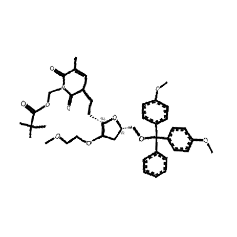 COCCOC1C[C@@H](COC(c2ccccc2)(c2ccc(OC)cc2)c2ccc(OC)cc2)O[C@H]1CCC1C=C(C)C(=O)N(COC(=O)C(C)(C)C)C1=O